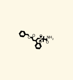 CC(C)(C(N)=O)S(=O)(=O)CC(CC(=O)OCc1ccccc1)c1ccccc1